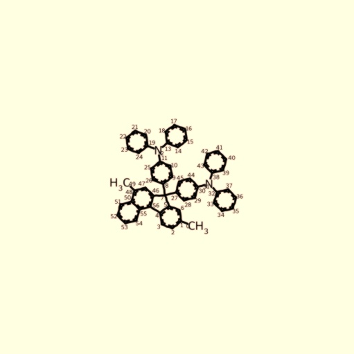 Cc1ccc2c(c1)C(c1ccc(N(c3ccccc3)c3ccccc3)cc1)(c1ccc(N(c3ccccc3)c3ccccc3)cc1)c1cc(C)c3ccccc3c1-2